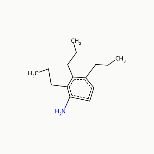 CCCc1ccc(N)c(CCC)c1CCC